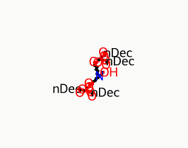 CCCCCCCCCCC(=O)OCC(COC(=O)CCCCCCCCCC)COC(=O)CCCCCN(CCO)CCCCCC(=O)OCC(COC(=O)CCCCCCCCCC)COC(=O)CCCCCCCCCC